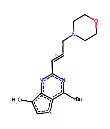 Cc1csc2c(C(C)(C)C)nc(/C=C/CN3CCOCC3)nc12